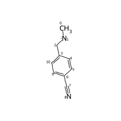 C[N]Cc1ccc(C#N)cc1